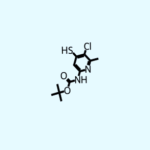 Cc1nc(NC(=O)OC(C)(C)C)cc(S)c1Cl